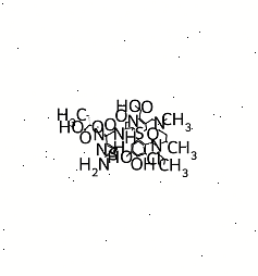 CCCN(C(=O)c1ccc(O)c(O)c1Cl)[C@H](C)CCN(C)CC1=C(C(=O)O)N2C(=O)[C@@H](NC(=O)/C(=N\O[C@@H](CC)C(=O)O)c3csc(N)n3)[C@H]2SC1